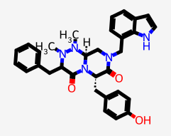 CN1C(Cc2ccccc2)C(=O)N2[C@@H](Cc3ccc(O)cc3)C(=O)N(Cc3cccc4cc[nH]c34)C[C@@H]2N1C